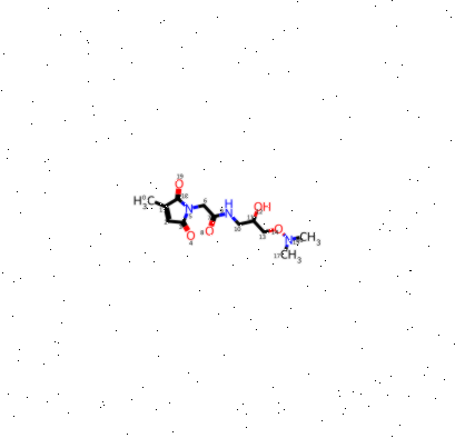 CC1=CC(=O)N(CC(=O)NCC(O)CON(C)C)C1=O